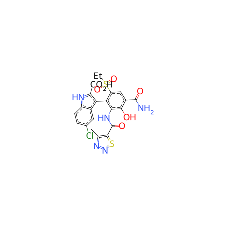 CCS(=O)(=O)c1cc(C(N)=O)c(O)c(NC(=O)c2snnc2C)c1-c1c(C(=O)O)[nH]c2ccc(Cl)cc12